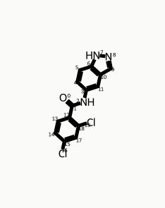 O=C(Nc1ccc2[nH]ncc2c1)c1ccc(Cl)cc1Cl